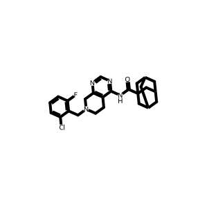 O=C(Nc1ncnc2c1CCN(Cc1c(F)cccc1Cl)C2)C12CC3CC(CC(C3)C1)C2